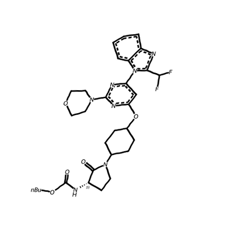 CCCCOC(=O)N[C@H]1CCN(C2CCC(Oc3cc(-n4c(C(F)F)nc5ccccc54)nc(N4CCOCC4)n3)CC2)C1=O